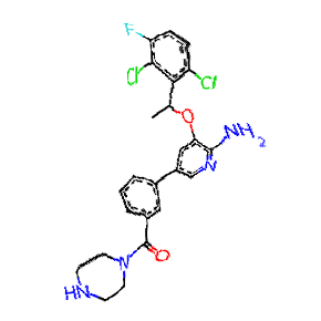 CC(Oc1cc(-c2cccc(C(=O)N3CCNCC3)c2)cnc1N)c1c(Cl)ccc(F)c1Cl